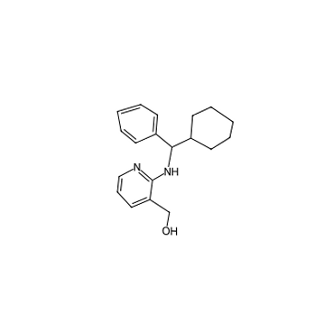 OCc1cccnc1NC(c1ccccc1)C1CCCCC1